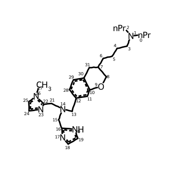 CCCN(CCC)CCCCC1COc2cc(CN(Cc3ncc[nH]3)Cc3nccn3C)ccc2C1